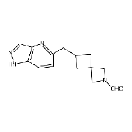 O=CN1CC2(CC(Cc3ccc4[nH]ncc4n3)C2)C1